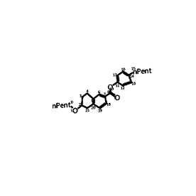 CCCCCOC1CCc2cc(C(=O)Oc3ccc(CCCCC)cc3)ccc2C1